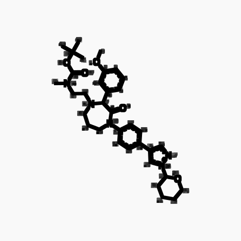 COc1cccc(C2C(=O)N(c3ccc(-c4cnn(C5CCCCO5)c4)cc3)CCCN2CCN(C)C(=O)OC(C)(C)C)c1